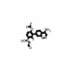 Nc1cnnc2cc(-c3c(OC(F)F)ccc(B(O)OC=O)c3F)ccc12